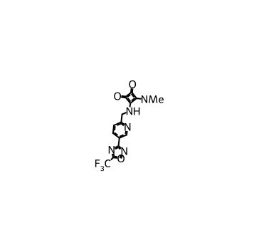 CNc1c(NCc2ccc(-c3noc(C(F)(F)F)n3)cn2)c(=O)c1=O